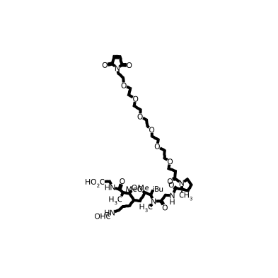 CCC(C)C(C(CC(CCCNC=O)C(OC)C(C)C(=O)NCC(=O)O)OC)N(C)C(=O)CNC(=O)[C@]1(C)CCCN1C(=O)CCOCCOCCOCCOCCOCCOCCN1C(=O)C=CC1=O